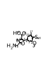 COc1cc(-c2oc(CN)nc2C(=O)O)cc(C)c1SC